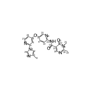 Cc1cn(-c2cc(Oc3ccc(NC(=O)c4cnc(C)n(C)c4=O)nc3)ccn2)cn1